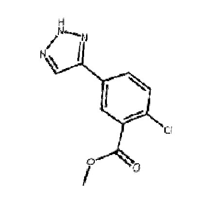 COC(=O)c1cc(-c2cn[nH]n2)ccc1Cl